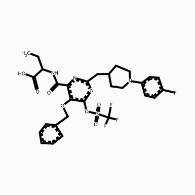 CCC(NC(=O)c1nc(CC2CCN(c3ccc(F)cc3)CC2)nc(OS(=O)(=O)C(F)(F)F)c1OCc1ccccc1)C(=O)O